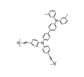 Cc1cccc(N(c2ccc(-c3ccc(N(c4ccc(C#C[Si](C)(C)C)cc4)c4ccc(C#C[Si](C)(C)C)cc4)cc3)cc2)c2cccc(C)c2)c1